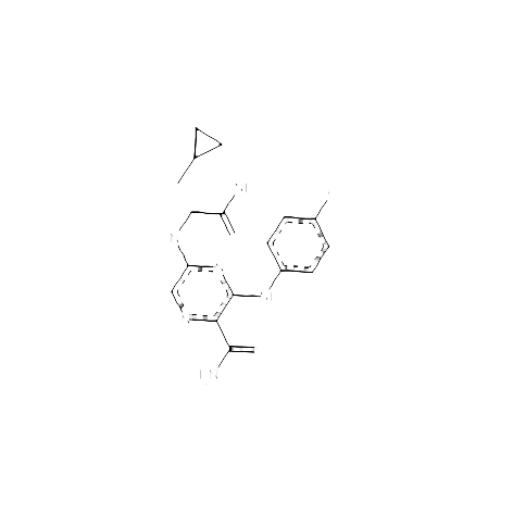 Cc1ccc(Nc2nc(N[C@H](CC3CC3)C(N)=O)cnc2C(N)=O)cc1